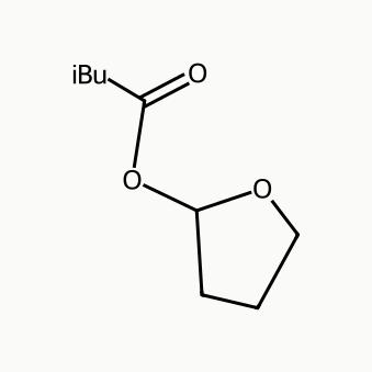 CCC(C)C(=O)OC1CCCO1